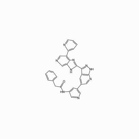 O=C(Cc1ccccc1)Nc1cncc(-c2cnc3[nH]nc(-c4nc5c(-c6ccccn6)cncc5[nH]4)c3c2)c1